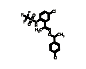 C/C(=N\OC(C)c1ccc(Cl)cc1)c1cc(Cl)ccc1NS(=O)(=O)C(F)(F)F